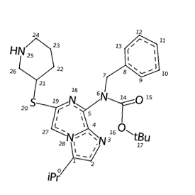 CC(C)c1cnc2c(N(Cc3ccccc3)C(=O)OC(C)(C)C)nc(SC3CCCNC3)cn12